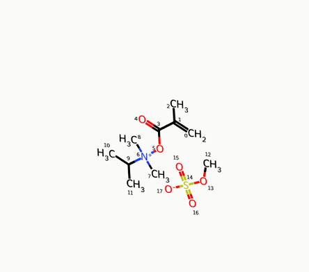 C=C(C)C(=O)O[N+](C)(C)C(C)C.COS(=O)(=O)[O-]